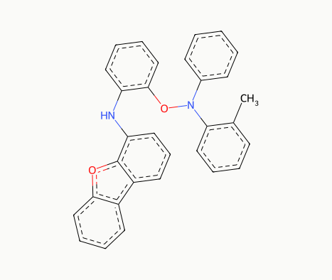 Cc1ccccc1N(Oc1ccccc1Nc1cccc2c1oc1ccccc12)c1ccccc1